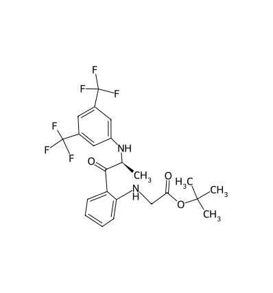 C[C@H](Nc1cc(C(F)(F)F)cc(C(F)(F)F)c1)C(=O)c1ccccc1NCC(=O)OC(C)(C)C